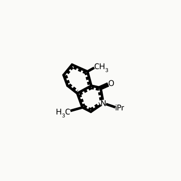 Cc1cn(C(C)C)c(=O)c2c(C)cccc12